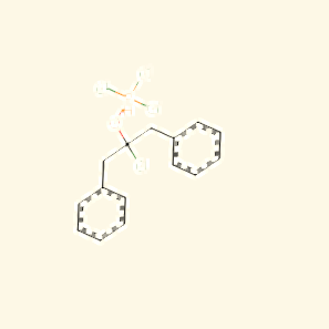 ClC(Cc1ccccc1)(Cc1ccccc1)O[PH](Cl)(Cl)Cl